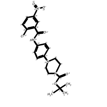 CC(C)(C)OC(=O)N1CCN(c2ccc(NC(=O)c3cc([N+](=O)[O-])ccc3Cl)cc2)CC1